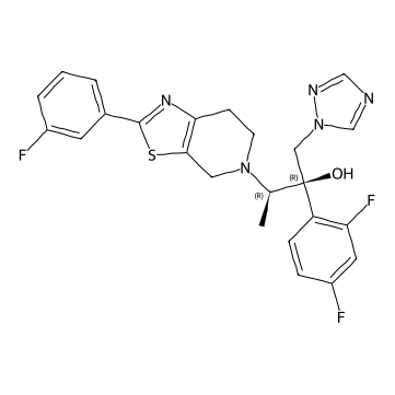 C[C@@H](N1CCc2nc(-c3cccc(F)c3)sc2C1)[C@](O)(Cn1cncn1)c1ccc(F)cc1F